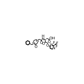 O=C(O)C[C@H](NC(=O)CN1CCN(Cc2ccccc2)C(=O)C1)C(=O)COc1ccnc(C(F)(F)F)n1